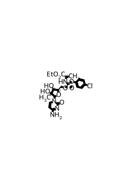 CCOC(=O)[C@H](C)NP(=O)(OC[C@H]1OC(n2ccc(N)nc2=O)[C@](C)(O)[C@@H]1O)Oc1ccc(Cl)cc1